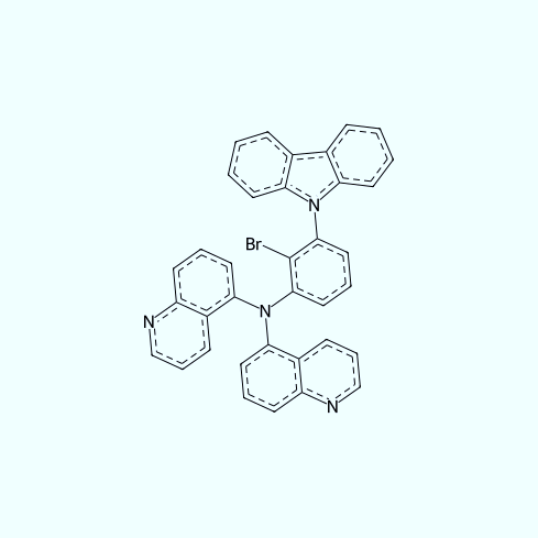 Brc1c(N(c2cccc3ncccc23)c2cccc3ncccc23)cccc1-n1c2ccccc2c2ccccc21